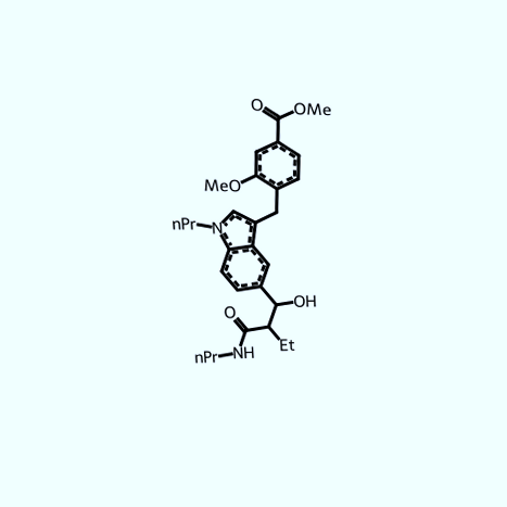 CCCNC(=O)C(CC)C(O)c1ccc2c(c1)c(Cc1ccc(C(=O)OC)cc1OC)cn2CCC